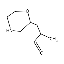 CC(C=O)CC1CNCCO1